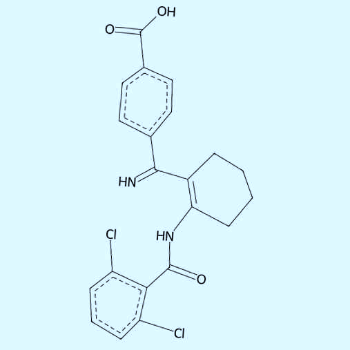 N=C(C1=C(NC(=O)c2c(Cl)cccc2Cl)CCCC1)c1ccc(C(=O)O)cc1